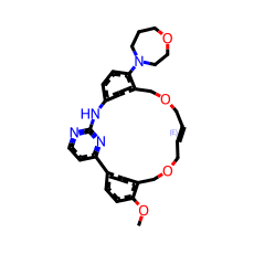 COc1ccc2cc1COC/C=C/COCc1cc(ccc1N1CCCOCC1)Nc1nccc-2n1